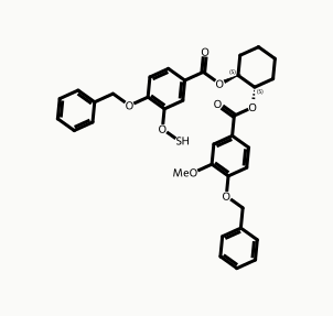 COc1cc(C(=O)O[C@H]2CCCC[C@@H]2OC(=O)c2ccc(OCc3ccccc3)c(OS)c2)ccc1OCc1ccccc1